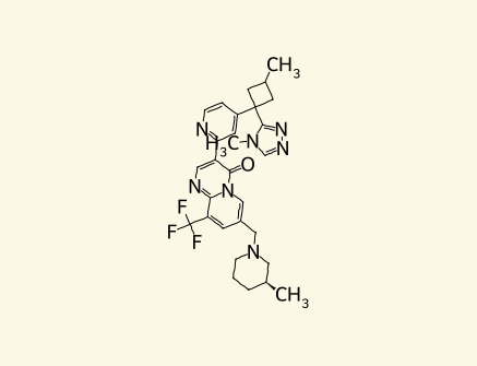 CC1CC(c2ccnc(-c3cnc4c(C(F)(F)F)cc(CN5CCC[C@H](C)C5)cn4c3=O)c2)(c2nncn2C)C1